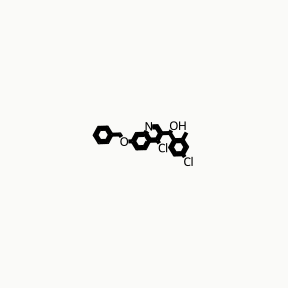 Cc1cc(Cl)ccc1C(O)c1cnc2cc(OCc3ccccc3)ccc2c1Cl